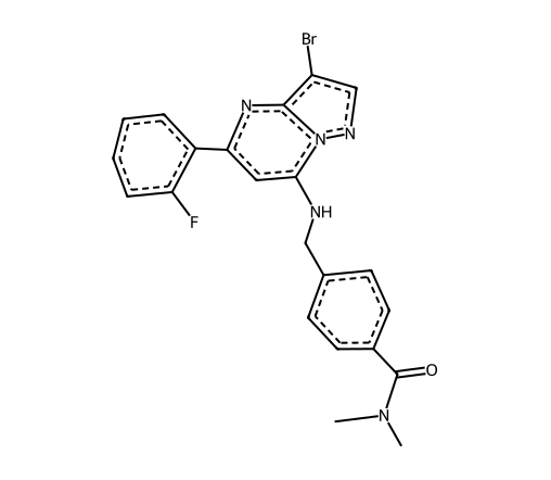 CN(C)C(=O)c1ccc(CNc2cc(-c3ccccc3F)nc3c(Br)cnn23)cc1